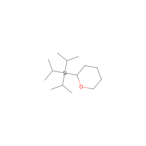 CC(C)[Si](C(C)C)(C(C)C)C1CCCCO1